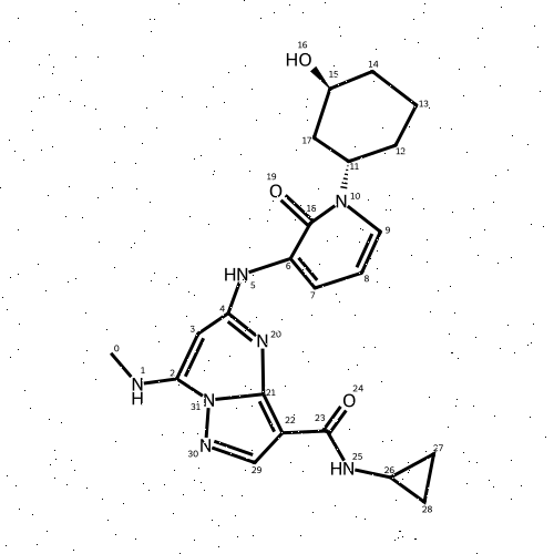 CNc1cc(Nc2cccn([C@H]3CCC[C@H](O)C3)c2=O)nc2c(C(=O)NC3CC3)cnn12